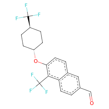 O=Cc1ccc2c(C(F)(F)F)c(O[C@H]3CC[C@H](C(F)(F)F)CC3)ccc2c1